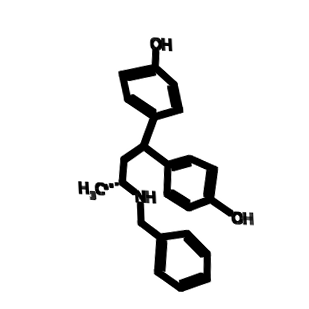 C[C@H](CC(c1ccc(O)cc1)c1ccc(O)cc1)NCc1ccccc1